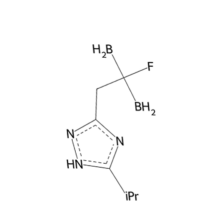 BC(B)(F)Cc1n[nH]c(C(C)C)n1